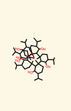 CC(C)C1CCC(C)(C2C(O)C(C(C)C)CCC2(C)C2C(O)C(C(C)C)CCC2(C)C2C(O)C(C(C)C)CCC2(C)C2C(O)C(C(C)C)CCC2(C)C2(C)CCC(C(C)C)C(O)C2)CC1O